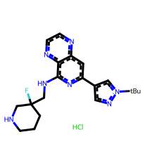 CC(C)(C)n1cc(-c2cc3nccnc3c(NCC3(F)CCCNC3)n2)cn1.Cl